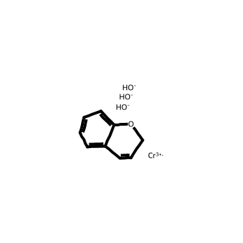 C1=Cc2ccccc2OC1.[Cr+3].[OH-].[OH-].[OH-]